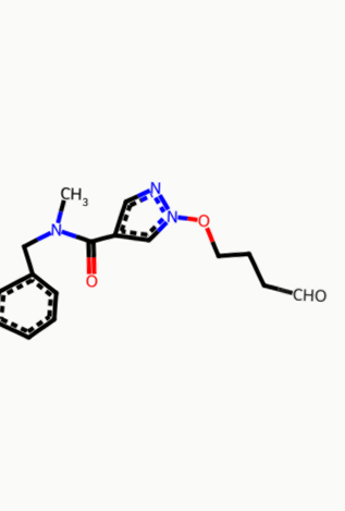 CN(Cc1ccccc1)C(=O)c1cnn(OCCCC=O)c1